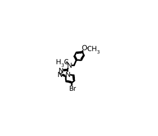 COc1ccc(CN(C)c2nnc3cc(Br)ccn23)cc1